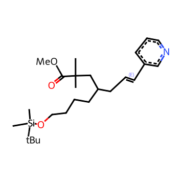 COC(=O)C(C)(C)CC(C/C=C/c1cccnc1)CCCCO[Si](C)(C)C(C)(C)C